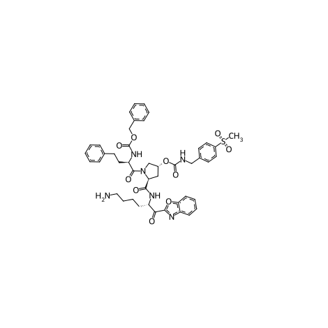 CS(=O)(=O)c1ccc(CNC(=O)O[C@@H]2C[C@@H](C(=O)N[C@@H](CCCCN)C(=O)c3nc4ccccc4o3)N(C(=O)[C@@H](CCc3ccccc3)NC(=O)OCc3ccccc3)C2)cc1